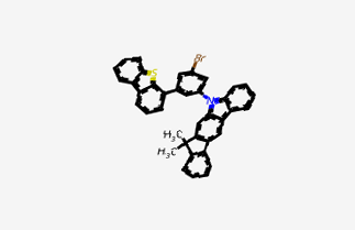 CC1(C)c2ccccc2-c2cc3c4ccccc4n(-c4cc(Br)cc(-c5cccc6c5sc5ccccc56)c4)c3cc21